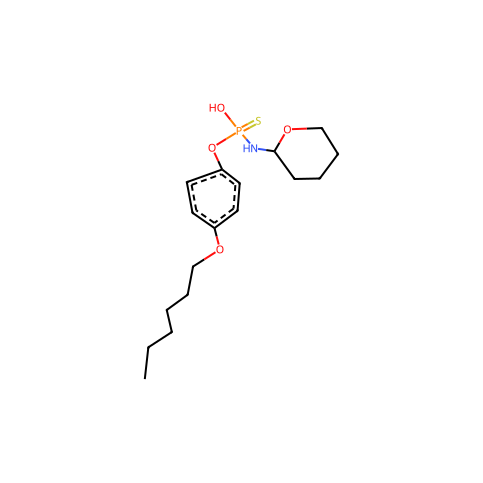 CCCCCCOc1ccc(OP(O)(=S)NC2CCCCO2)cc1